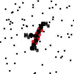 CCCCCc1cc(OC(=O)c2ccc(OC(=O)c3ccc(CCC)cc3)cc2)ccc1OC(=O)c1ccc(OC(=O)c2ccc(CCC)cc2)cc1